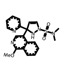 COc1ncc(C2(c3ccccn3)C=CN(S(=O)(=O)N(C)C)N2)c2ccccc12